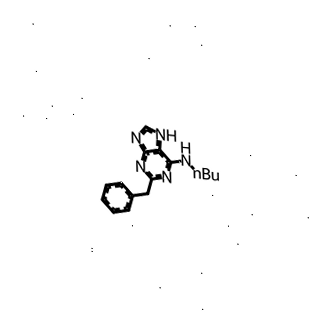 CCCCNc1nc(Cc2ccccc2)nc2nc[nH]c12